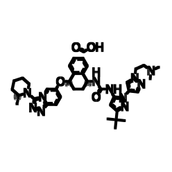 C[C@H]1CCCCN1c1nnc2ccc(O[C@@H]3CC[C@H](NC(=O)Nc4cc(C(C)(C)C)nn4-c4cnn(CCN(C)C)c4)c4ccccc43)cn12.O=CO